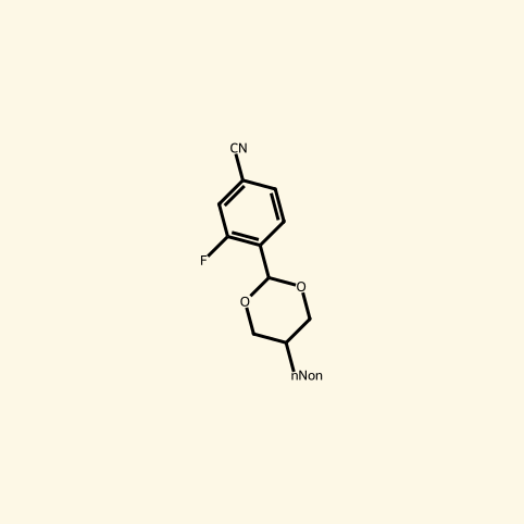 CCCCCCCCCC1COC(c2ccc(C#N)cc2F)OC1